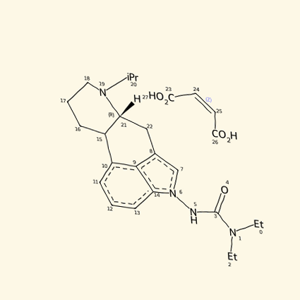 CCN(CC)C(=O)Nn1cc2c3c(cccc31)C1CCCN(C(C)C)[C@@H]1C2.O=C(O)/C=C\C(=O)O